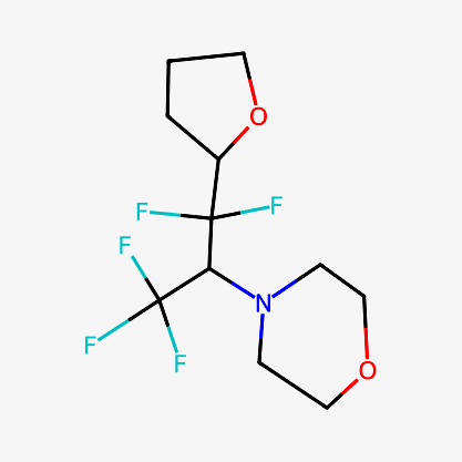 FC(F)(F)C(N1CCOCC1)C(F)(F)C1CCCO1